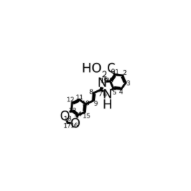 O=C(O)c1cccc2[nH]c(/C=C/c3ccc4c(c3)OCO4)nc12